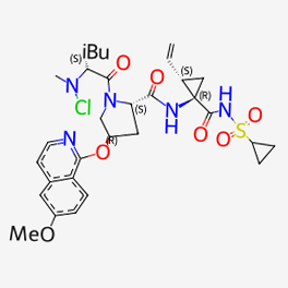 C=C[C@@H]1C[C@]1(NC(=O)[C@@H]1C[C@@H](Oc2nccc3cc(OC)ccc23)CN1C(=O)C([C@@H](C)CC)N(C)Cl)C(=O)NS(=O)(=O)C1CC1